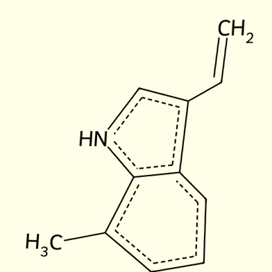 C=Cc1c[nH]c2c(C)cccc12